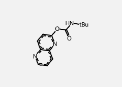 CC(C)(C)NC(=O)Oc1ccc2ncccc2n1